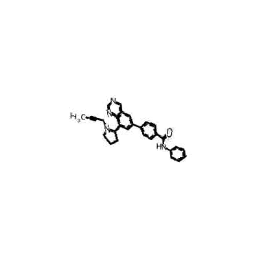 CC#CCN1CCCC1c1cc(-c2ccc(C(=O)Nc3ccccc3)cc2)cc2cncnc12